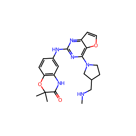 CNCC1CCN(c2nc(Nc3ccc4c(c3)NC(=O)C(C)(C)O4)nc3ccoc23)C1